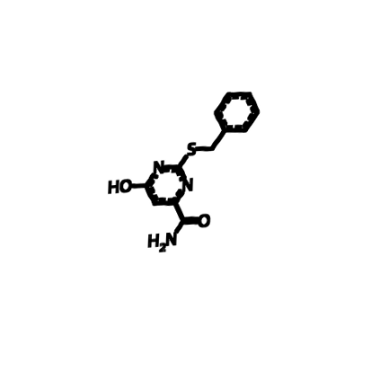 NC(=O)c1cc(O)nc(SCc2ccccc2)n1